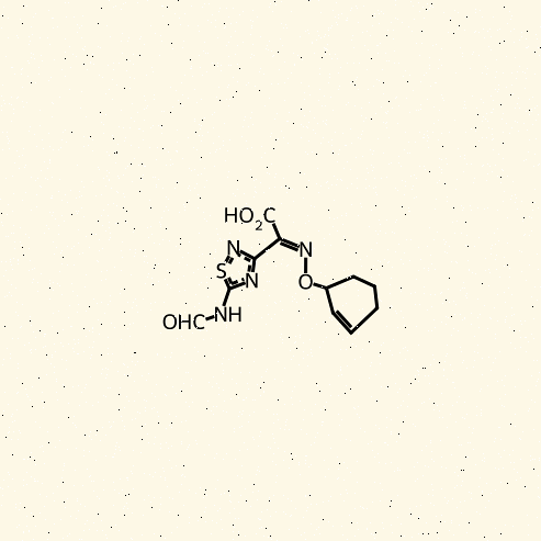 O=CNc1nc(C(=NOC2C=CCCC2)C(=O)O)ns1